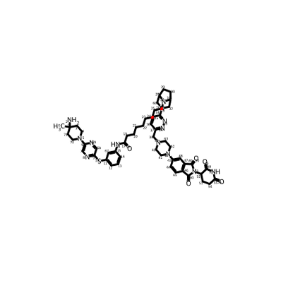 CC1(N)CCN(c2cnc(Sc3cccc(NC(=O)CCCCCCCCN4C5CCC4CN(c4ccc(CN6CCN(c7ccc8c(c7)C(=O)N(C7CCC(=O)NC7=O)C8=O)CC6)nn4)C5)c3)cn2)CC1